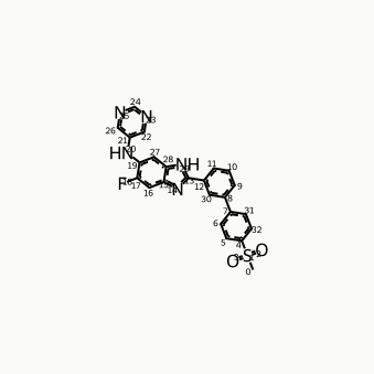 CS(=O)(=O)c1ccc(-c2cccc(-c3nc4cc(F)c(Nc5cncnc5)cc4[nH]3)c2)cc1